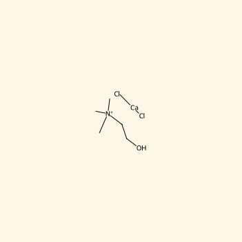 C[N+](C)(C)CCO.[Cl][Ca][Cl]